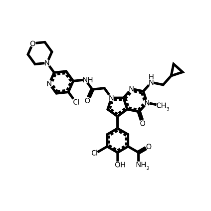 Cn1c(NCC2CC2)nc2c(c(-c3cc(Cl)c(O)c(C(N)=O)c3)cn2CC(=O)Nc2cc(N3CCOCC3)ncc2Cl)c1=O